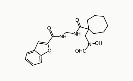 O=CN(O)CC1(C(=O)NCNC(=O)c2cc3ccccc3o2)CCCCCC1